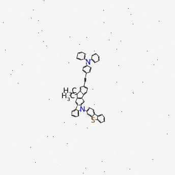 CC1(C)c2cc(C#Cc3ccc(N(c4ccccc4)c4ccccc4)cc3)ccc2-c2cc3c(cc21)c1ccccc1n3-c1ccc2c(c1)sc1ccccc12